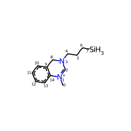 C[N+]1=CN(CCC[SiH3])Cc2ccccc21